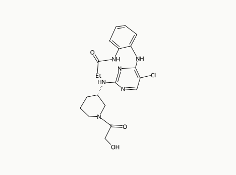 CCC(=O)Nc1ccccc1Nc1nc(N[C@H]2CCCN(C(=O)CO)C2)ncc1Cl